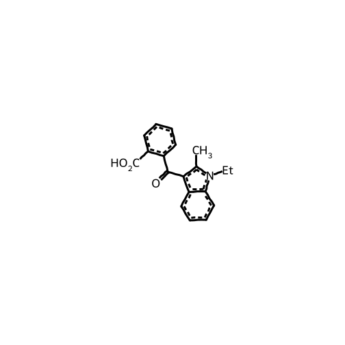 CCn1c(C)c(C(=O)c2ccccc2C(=O)O)c2ccccc21